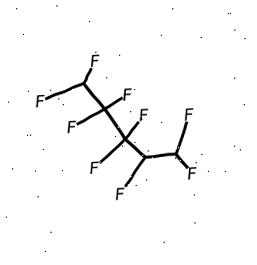 F[C](F)C(F)C(F)(F)C(F)(F)C(F)F